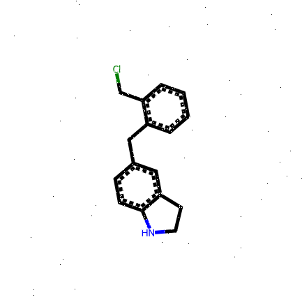 ClCc1ccccc1Cc1ccc2c(c1)CCN2